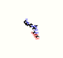 Cc1nc(NC[C@H](NC(=O)O[C@@H](C)C(=O)O)C(=O)O)c(C)c(N2CCC(c3ccc4c(n3)NCCC4)CC2)n1